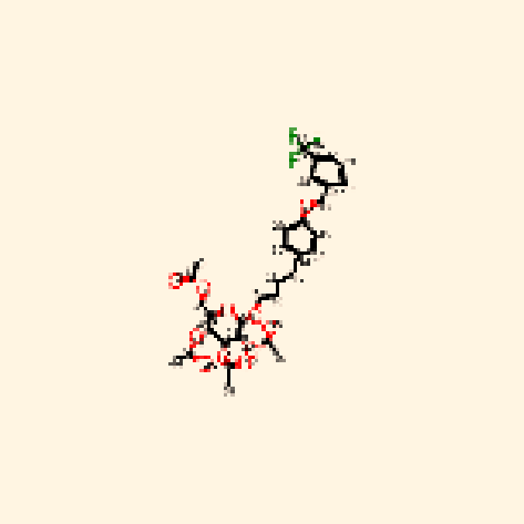 CC(=O)OC[C@H]1O[C@@H](OCCCCc2ccc(OCc3cccc(C(F)(F)F)c3)cc2)[C@H](OC(C)=O)[C@@H](OC(C)=O)[C@@H]1OC(C)=O